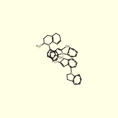 CC1=Cc2c(cccc2N2CCc3ccccc32)[C@H]1S(/C(C)=C\c1c(C)cccc1N1C2=C(CCC=C2)CCC1C)(c1ccccc1)c1ccccc1